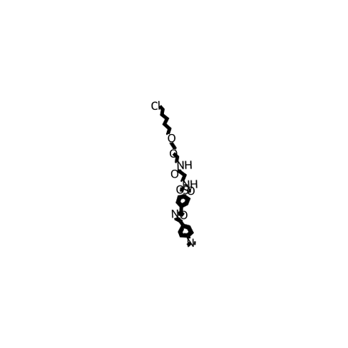 CN(C)c1ccc(-c2cnc(-c3ccc(S(=O)(=O)NCCC(=O)NCCOCCOCCCCCCCl)cc3)o2)cc1